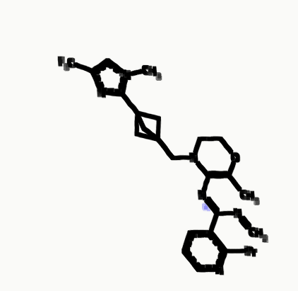 C=N/C(=N\C1=C(C)OCCN1CC12CC(c3nc(C(F)(F)F)cn3C)(C1)C2)c1cccnc1C(C)C